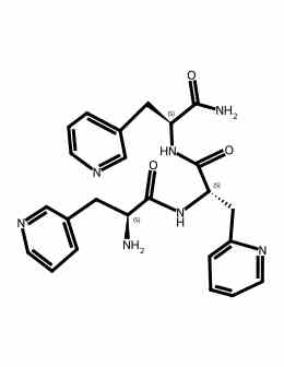 NC(=O)[C@H](Cc1cccnc1)NC(=O)[C@H](Cc1ccccn1)NC(=O)[C@@H](N)Cc1cccnc1